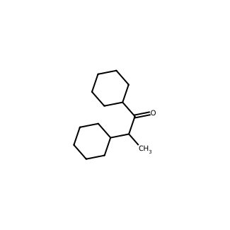 CC(C(=O)C1CCCCC1)C1CCCCC1